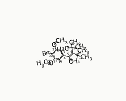 COc1cc(C2=C(C(C)(C)C)C(C)(C)CO2)cc(OC)c1Br